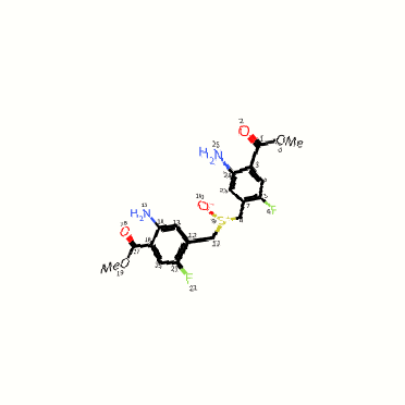 COC(=O)c1cc(F)c(C[S+]([O-])Cc2cc(N)c(C(=O)OC)cc2F)cc1N